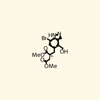 COC(=O)C[C@H](Cc1cc(Br)c2[nH]ncc2c1CO)C(=O)OC